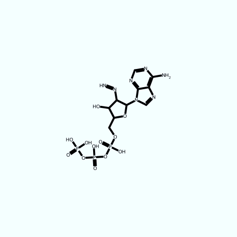 N=NC1C(O)C(COP(=O)(O)OP(=O)(O)OP(=O)(O)O)OC1n1cnc2c(N)ncnc21